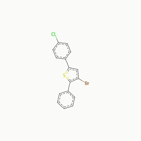 Clc1ccc(-c2cc(Br)c(-c3ccccc3)s2)cc1